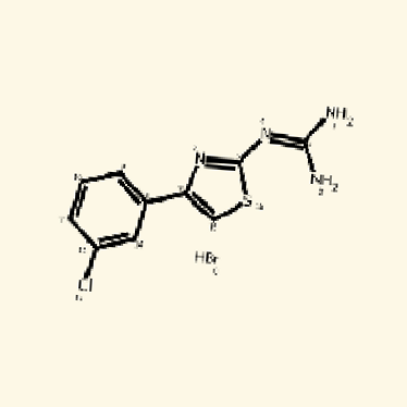 Br.NC(N)=Nc1nc(-c2cccc(Cl)c2)cs1